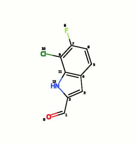 O=Cc1cc2ccc(F)c(Cl)c2[nH]1